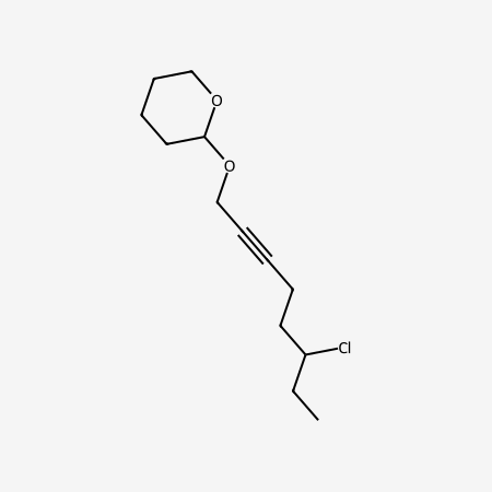 CCC(Cl)CCC#CCOC1CCCCO1